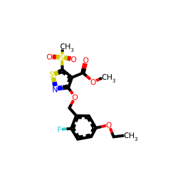 CCOc1ccc(F)c(COc2nsc(S(C)(=O)=O)c2C(=O)OC)c1